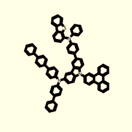 c1ccc(-c2ccc(-c3ccc(N(c4ccc(-c5ccccc5)cc4)c4ccc5c(c4)c4cc(-c6ccc(N(c7ccccc7)c7cccc8c7sc7ccccc78)cc6)ccc4n5-c4ccc5c6ccccc6c6ccccc6c5c4)cc3)cc2)cc1